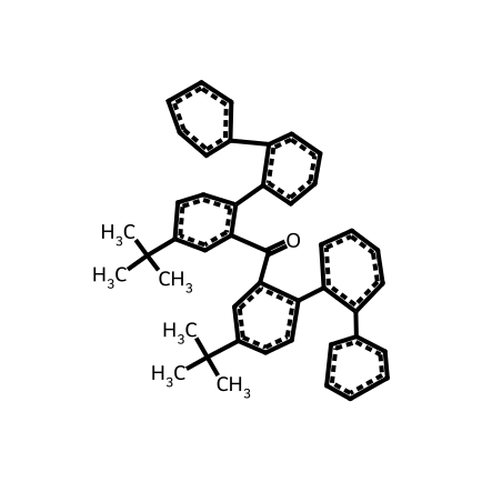 CC(C)(C)c1ccc(-c2ccccc2-c2ccccc2)c(C(=O)c2cc(C(C)(C)C)ccc2-c2ccccc2-c2ccccc2)c1